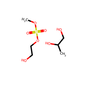 CC(O)CO.COS(=O)(=O)OCCO